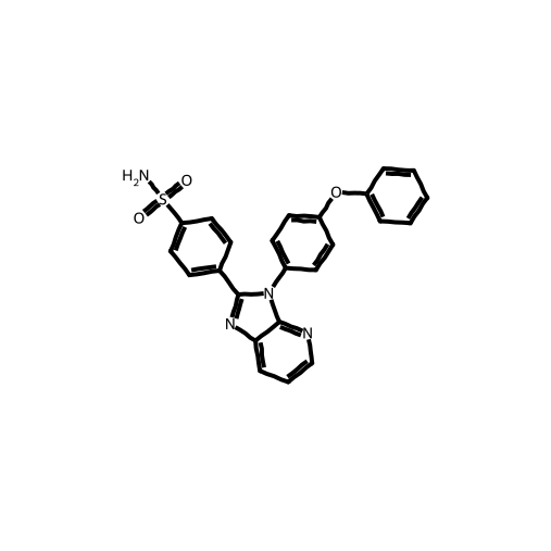 NS(=O)(=O)c1ccc(-c2nc3cccnc3n2-c2ccc(Oc3ccccc3)cc2)cc1